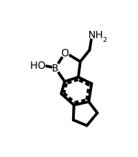 NCC1OB(O)c2cc3c(cc21)CCC3